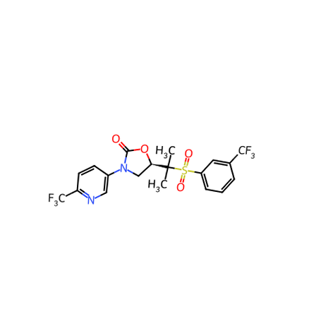 CC(C)([C@H]1CN(c2ccc(C(F)(F)F)nc2)C(=O)O1)S(=O)(=O)c1cccc(C(F)(F)F)c1